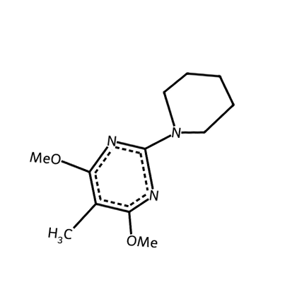 COc1nc(N2CCCCC2)nc(OC)c1C